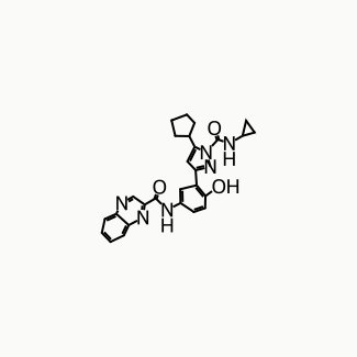 O=C(Nc1ccc(O)c(-c2cc(C3CCCC3)n(C(=O)NC3CC3)n2)c1)c1cnc2ccccc2n1